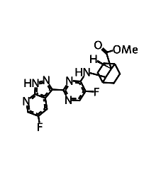 COC(=O)[C@@H]1C2CCC(CC2)C1Nc1nc(-c2n[nH]c3ncc(F)cc23)ncc1F